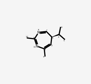 CC1=C[C@H](C(C)C)C=NC(C)=N1